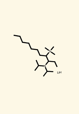 CCCCCCCC(C(CC)N(C(C)C)C(C)C)[Si](C)(C)C.[LiH]